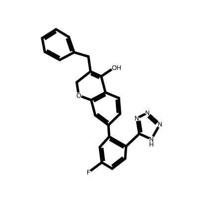 OC1=C(Cc2ccccc2)COc2cc(-c3cc(F)ccc3-c3nnn[nH]3)ccc21